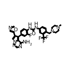 CN1CCN(Cc2ccc(NC(=O)Nc3ccc(-c4c(-c5cnco5)cn5ncnc(N)c45)cc3F)cc2C(F)(F)F)CC1